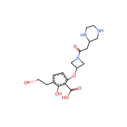 O=BCCc1ccc(OC2CN(C(=O)CC3CNCCN3)C2)c(C(=O)O)c1O